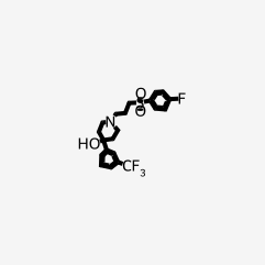 O=S(=O)(CCCN1CCC(O)(c2cccc(C(F)(F)F)c2)CC1)c1ccc(F)cc1